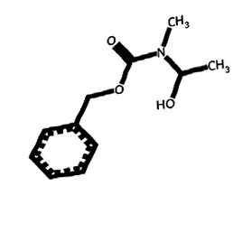 CC(O)N(C)C(=O)OCc1ccccc1